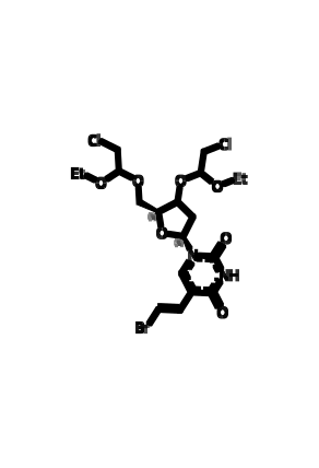 CCOC(CCl)OC[C@@H]1O[C@H](n2cc(C=CBr)c(=O)[nH]c2=O)CC1OC(CCl)OCC